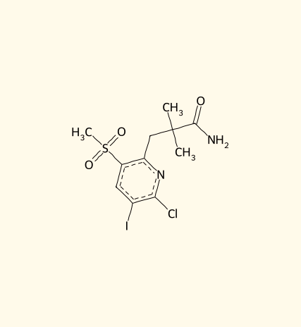 CC(C)(Cc1nc(Cl)c(I)cc1S(C)(=O)=O)C(N)=O